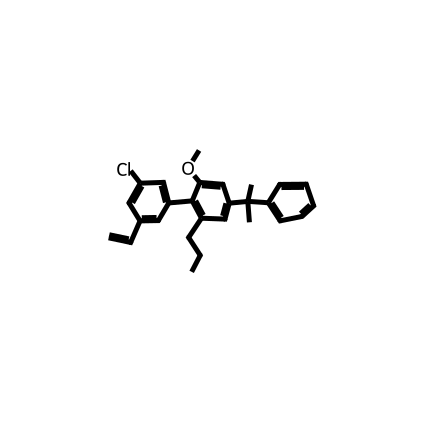 C=Cc1cc(Cl)cc(-c2c(CCC)cc(C(C)(C)c3ccccc3)cc2OC)c1